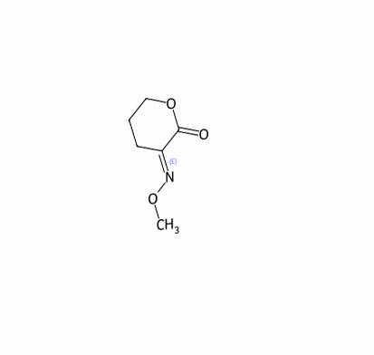 CO/N=C1\CCCOC1=O